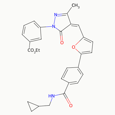 CCOC(=O)c1cccc(N2N=C(C)/C(=C/c3ccc(-c4ccc(C(=O)NCC5CC5)cc4)o3)C2=O)c1